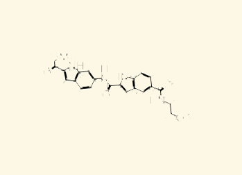 COC(=O)c1cc2ccc(NC(=O)c3cc4cc(C(=O)NCCOC(C)=O)ccc4[nH]3)cc2[nH]1